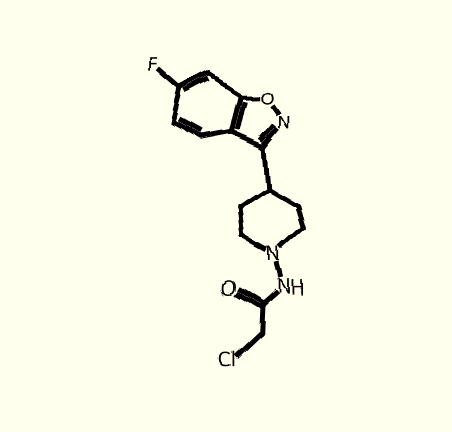 O=C(CCl)NN1CCC(c2noc3cc(F)ccc23)CC1